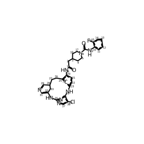 O=C(CC1CCN(C(=O)Nc2ccccc2F)CC1)Nc1ccc2cc1CCC1C=NC=C(C1)Nc1ncc(Cl)c(n1)N2